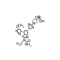 CCN(C(N)=O)c1nc2cc(-c3cnc(N4CCC(C)(C(=O)O)CC4)nc3)cc(-c3cc(OC)ncn3)c2s1